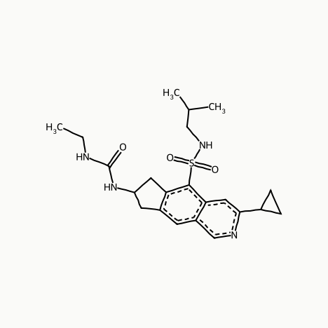 CCNC(=O)NC1Cc2cc3cnc(C4CC4)cc3c(S(=O)(=O)NCC(C)C)c2C1